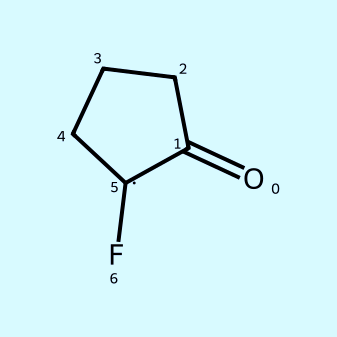 O=C1CCC[C]1F